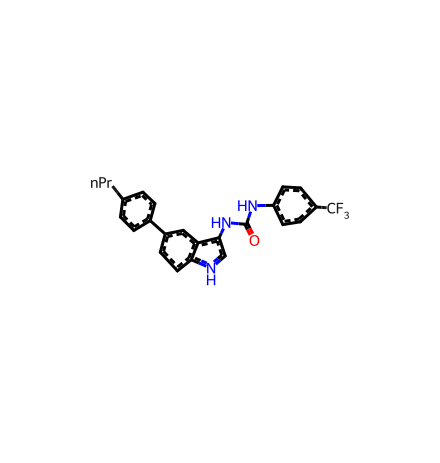 CCCc1ccc(-c2ccc3[nH]cc(NC(=O)Nc4ccc(C(F)(F)F)cc4)c3c2)cc1